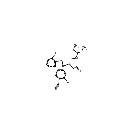 CCC(CC)NC[C@H](CC=O)N(Cc1ccccc1F)c1ccc(C#N)c(Cl)c1